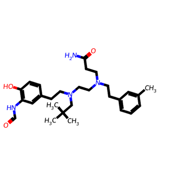 Cc1cccc(CCN(CCC(N)=O)CCN(CCc2ccc(O)c(NC=O)c2)CC(C)(C)C)c1